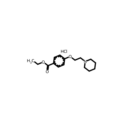 CCOC(=O)c1ccc(OCCN2CCCCC2)cc1.Cl